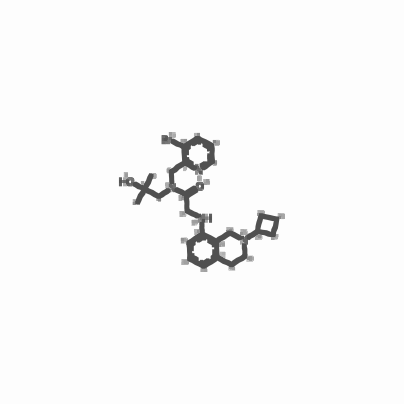 CC(C)(O)CN(Cc1ncccc1Br)C(=O)CNc1cccc2c1CN(C1CCC1)CC2